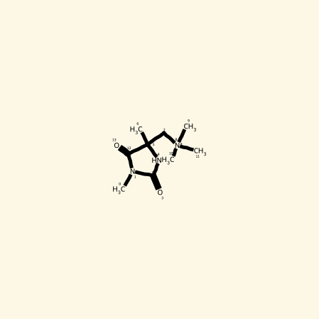 CN1C(=O)NC(C)(C[N+](C)(C)C)C1=O